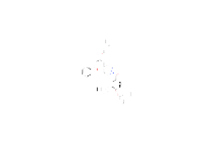 Cc1cc(C(=O)N2CCC3(CC2)CC(OC(C)C)CC(c2ccccc2)O3)ccc1OC(C)C